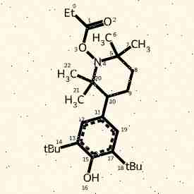 CCC(=O)ON1C(C)(C)CCC(c2cc(C(C)(C)C)c(O)c(C(C)(C)C)c2)C1(C)C